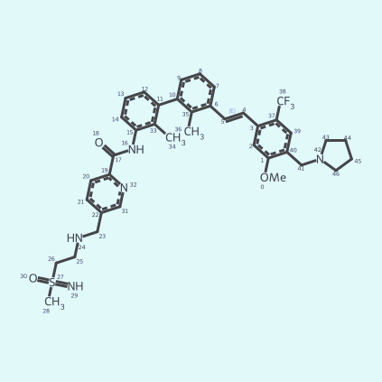 COc1cc(/C=C/c2cccc(-c3cccc(NC(=O)c4ccc(CNCCS(C)(=N)=O)cn4)c3C)c2C)c(C(F)(F)F)cc1CN1CCCC1